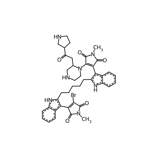 CN1C(=O)C(Br)=C(c2c(CCCCCc3[nH]c4ccccc4c3C3=C(N4CCNCC4CC(=O)C4CCNC4)C(=O)N(C)C3=O)[nH]c3ccccc23)C1=O